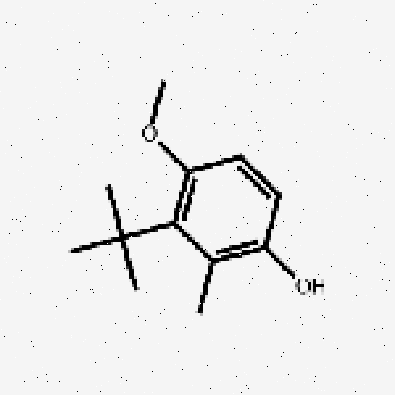 COc1ccc(O)c(C)c1C(C)(C)C